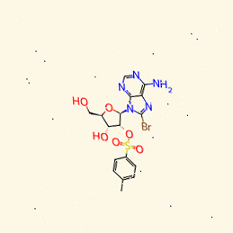 Cc1ccc(S(=O)(=O)O[C@@H]2[C@H](O)[C@@H](CO)O[C@H]2n2c(Br)nc3c(N)ncnc32)cc1